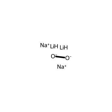 [LiH].[LiH].[Na+].[Na+].[O-][O-]